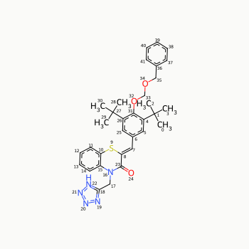 CC(C)(C)c1cc(C=C2Sc3ccccc3N(Cc3nnn[nH]3)C2=O)cc(C(C)(C)C)c1OCOCc1ccccc1